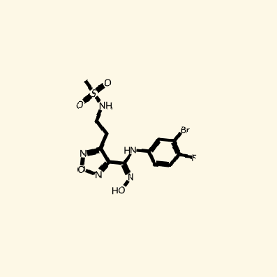 CS(=O)(=O)NCCc1nonc1/C(=N\O)Nc1ccc(F)c(Br)c1